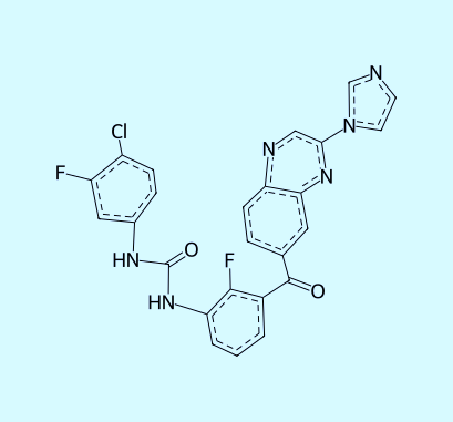 O=C(Nc1ccc(Cl)c(F)c1)Nc1cccc(C(=O)c2ccc3ncc(-n4ccnc4)nc3c2)c1F